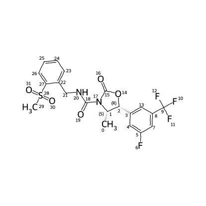 C[C@H]1[C@@H](c2cc(F)cc(C(F)(F)F)c2)OC(=O)N1C(=O)NCc1ccccc1S(C)(=O)=O